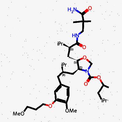 COCCCOc1cc(C[C@H](C[C@H]2[C@H](C[C@H](C(=O)NCC(C)(C)C(N)=O)C(C)C)OCN2C(=O)OC(C)C[C](C)C)C(C)C)ccc1OC